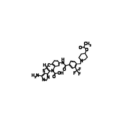 CC(=O)OC1CCN(Cc2ccc(C(=O)Nc3ccc(C)c(N(C(=O)O)c4csc5c(N)ncnc45)c3)cc2C(F)(F)F)CC1